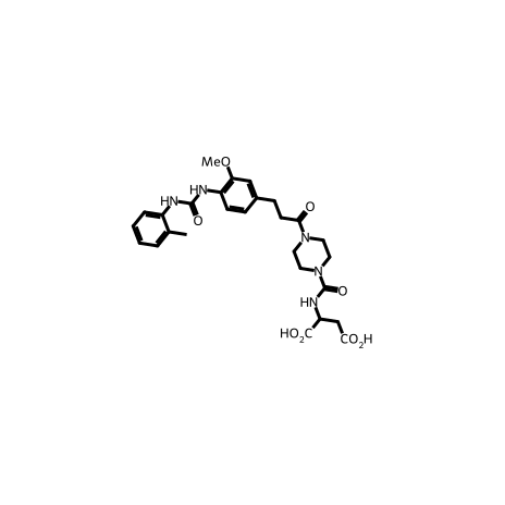 COc1cc(CCC(=O)N2CCN(C(=O)NC(CC(=O)O)C(=O)O)CC2)ccc1NC(=O)Nc1ccccc1C